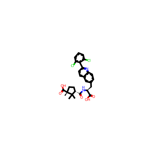 CC1(C)[C@@H](C(=O)N[C@@H](Cc2ccc3nc(-c4c(Cl)cccc4Cl)ccc3c2)C(=O)O)CC[C@@]1(C)C(=O)O